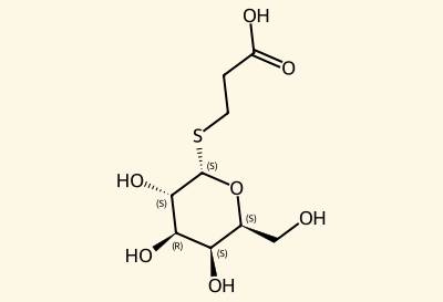 O=C(O)CCS[C@@H]1O[C@@H](CO)[C@@H](O)[C@@H](O)[C@@H]1O